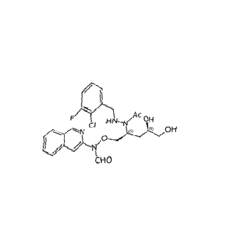 CC(=O)N(NCc1cccc(F)c1Cl)[C@H](CON(C=O)c1cc2ccccc2cn1)C[C@@H](O)CO